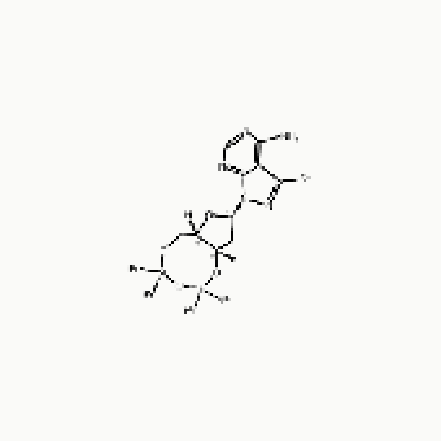 CC(C)[Si]1(C(C)C)OC[C@@H]2O[C@@H](n3nc(S)c4c(N)ncnc43)C[C@@H]2O[Si](C(C)C)(C(C)C)O1